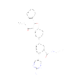 CNC(=O)C1c2cc(-c3ccc(-c4cnc(N)nc4)c(C(=O)NCC(C)C)c3)ccc2OC1c1ccc(F)cc1